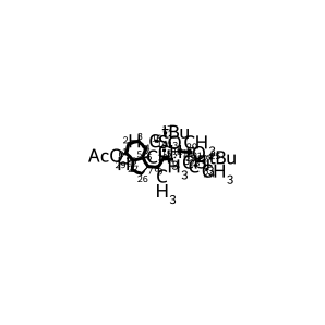 CC(=O)O[C@H]1CCC[C@]2(C)[C@@H]([C@@H](C)CC[C@H](O[Si](C)(C)C(C)(C)C)C(C)(C)O[Si](C)(C)C(C)(C)C)CC[C@@H]12